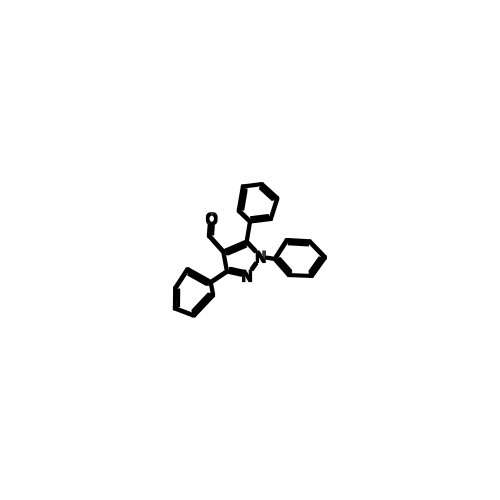 O=Cc1c(-c2ccccc2)nn(-c2ccccc2)c1-c1ccccc1